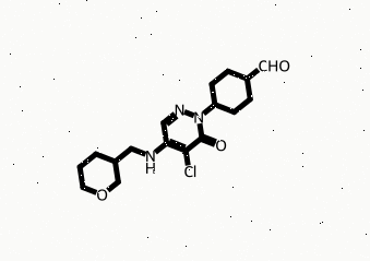 O=CC1CCC(n2ncc(NCC3CCCOC3)c(Cl)c2=O)CC1